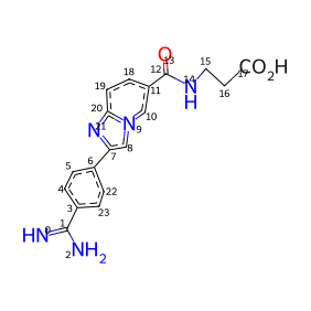 N=C(N)c1ccc(-c2cn3cc(C(=O)NCCC(=O)O)ccc3n2)cc1